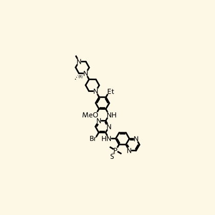 CCc1cc(Nc2ncc(Br)c(Nc3ccc4nccnc4c3P(C)(C)=S)n2)c(OC)cc1N1CCC(N2CCN(C)C[C@H]2C)CC1